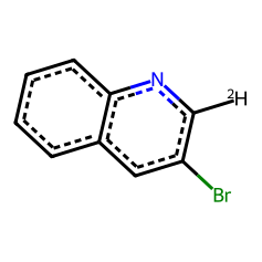 [2H]c1nc2ccccc2cc1Br